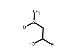 CCC(O)C[S+](C)[O-]